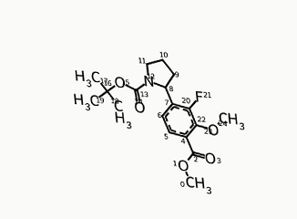 COC(=O)c1ccc(C2CCCN2C(=O)OC(C)(C)C)c(F)c1OC